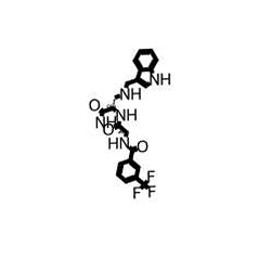 NC(=O)[C@H](CNCc1c[nH]c2ccccc12)NC(=O)CNC(=O)c1cccc(C(F)(F)F)c1